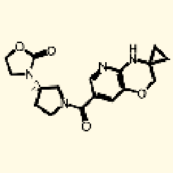 O=C(c1cnc2c(c1)OCC1(CC1)N2)N1CC[C@H](N2CCOC2=O)C1